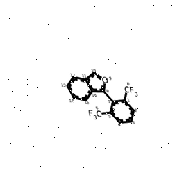 FC(F)(F)c1c[c]cc(C(F)(F)F)c1-c1occ2ccccc12